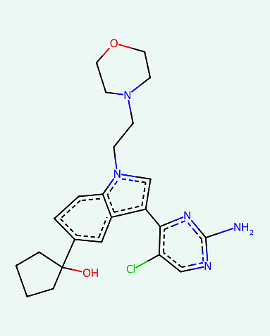 Nc1ncc(Cl)c(-c2cn(CCN3CCOCC3)c3ccc(C4(O)CCCC4)cc23)n1